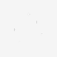 [O]Cc1c(F)c(F)cc(F)c1F